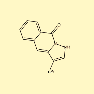 CCCc1c[nH]n2c(=O)c3ccccc3cc12